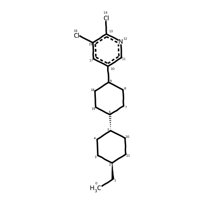 CC[C@H]1CC[C@H](C2CCC(c3cnc(Cl)c(Cl)c3)CC2)CC1